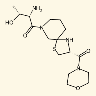 C[C@@H](O)[C@H](N)C(=O)N1CCCC2(C1)N[C@H](C(=O)N1CCOCC1)CS2